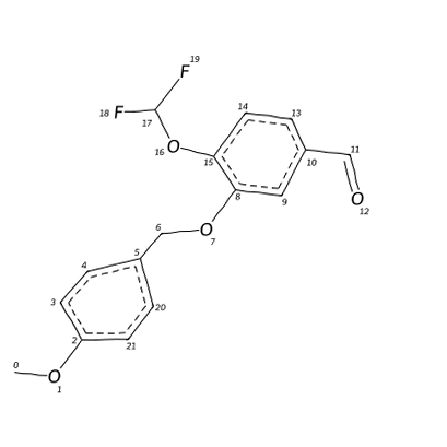 COc1ccc(COc2cc(C=O)ccc2OC(F)F)cc1